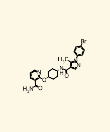 Cc1c(C(=O)N[C@H]2CC[C@H](Oc3ncccc3C(N)=O)CC2)cnn1-c1ccc(Br)cc1